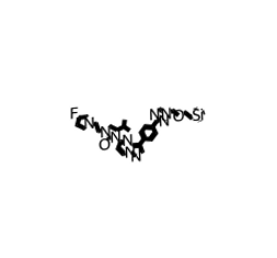 CC(C)C1CN(CCN2CCC(F)C2)C(=O)N1c1ccn2ncc(-c3ccc(-c4ncn(COCC[Si](C)(C)C)n4)cc3)c2n1